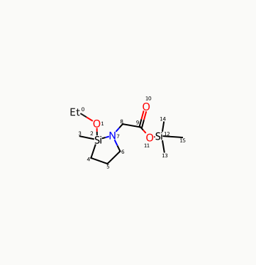 CCO[Si]1(C)CCCN1CC(=O)O[Si](C)(C)C